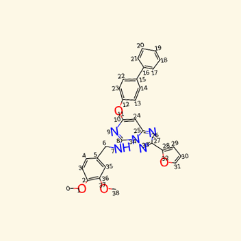 COc1ccc(CNc2nc(Oc3ccc(-c4ccccc4)cc3)cc3nc(-c4ccco4)nn23)cc1OC